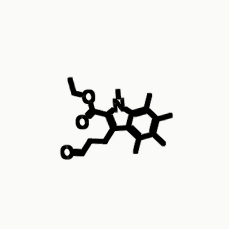 CCOC(=O)c1c(CCC=O)c2c(C)c(C)c(C)c(C)c2n1C